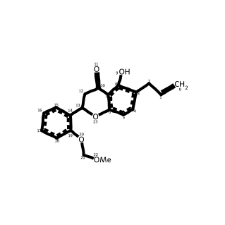 C=CCc1ccc2c(c1O)C(=O)CC(c1ccccc1OCOC)O2